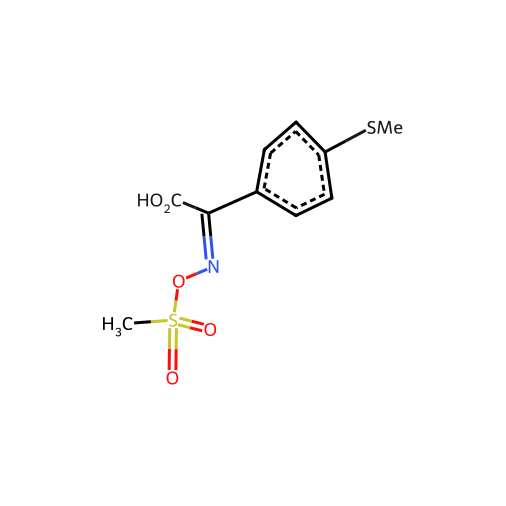 CSc1ccc(C(=NOS(C)(=O)=O)C(=O)O)cc1